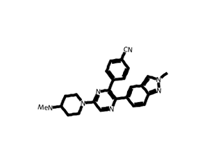 CNC1CCN(c2cnc(-c3ccc4nn(C)cc4c3)c(-c3ccc(C#N)cc3)n2)CC1